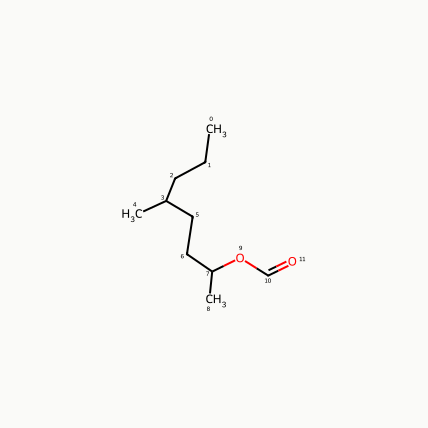 CCCC(C)CCC(C)OC=O